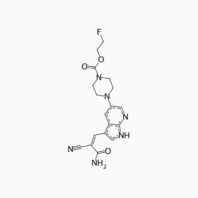 N#CC(=Cc1c[nH]c2ncc(N3CCN(C(=O)OCCF)CC3)cc12)C(N)=O